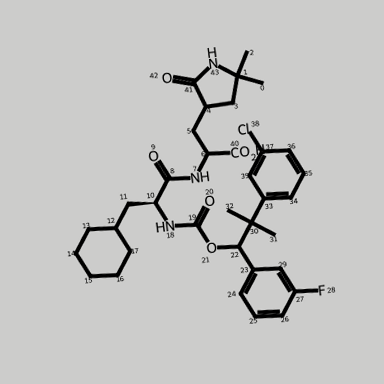 CC1(C)CC(CC(NC(=O)[C@H](CC2CCCCC2)NC(=O)OC(c2cccc(F)c2)C(C)(C)c2cccc(Cl)c2)C(=O)O)C(=O)N1